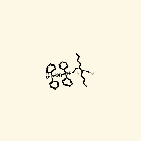 CCCCC(CO)C(CO)CCCC.O[PH](O)(c1ccccc1)c1ccccc1.O[PH](O)(c1ccccc1)c1ccccc1